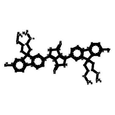 COCCC1(CCOC)c2cc(Br)ccc2-c2ccc(C3=C4C(=O)NC(c5ccc6c(c5)C(CCOC)(CCOC)c5cc(Br)ccc5-6)=C4C(=O)N3)cc21